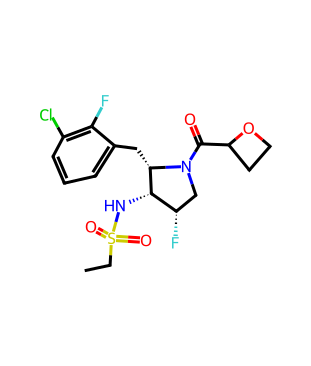 CCS(=O)(=O)N[C@H]1[C@@H](F)CN(C(=O)C2CCO2)[C@H]1Cc1cccc(Cl)c1F